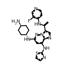 C=C(Nc1ccncc1F)c1cnc2c(Nc3nccs3)cc(N[C@H]3CC[C@H](N)CC3)nn12